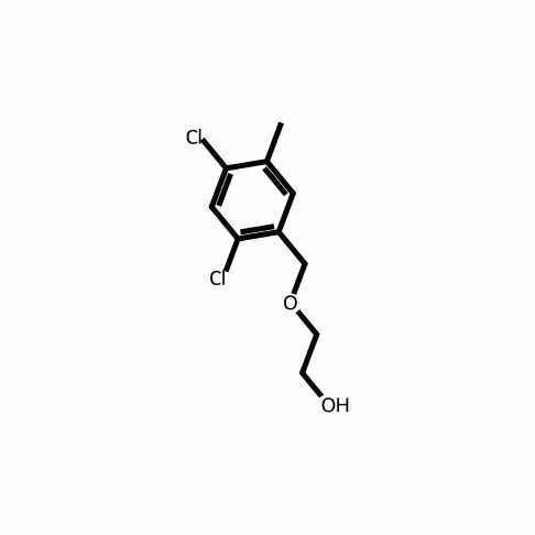 Cc1cc(COCCO)c(Cl)cc1Cl